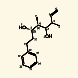 C=CC(C)C(O)[C@H](C)[C@@H](O)CCc1ccccc1